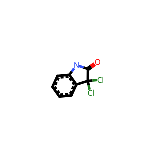 O=C1[N]c2ccccc2C1(Cl)Cl